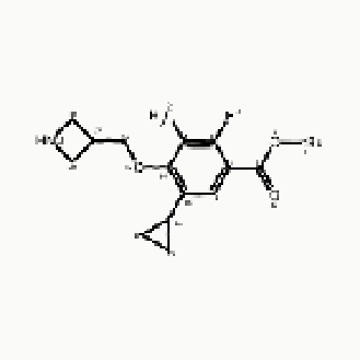 Cc1c(F)c(C(=O)OC(C)(C)C)cc(C2CC2)c1OCC1CNC1